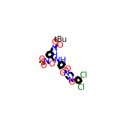 CN(c1ccc(CNC(=O)OC(C)(C)C)cc1C(=O)Nc1ccc(S(=O)(=O)N2CC[N+]([O-])(c3cc(Cl)cc(Cl)c3)CC2)cc1)S(C)(=O)=O